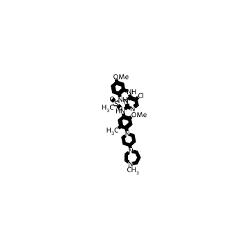 COc1ccc(NS(C)(=O)=O)c(Nc2nc(Nc3cc(C)c(N4CCC(N5CCCN(C)CC5)CC4)cc3OC)ncc2Cl)c1